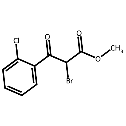 COC(=O)C(Br)C(=O)c1ccccc1Cl